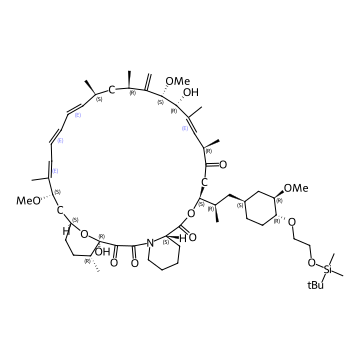 C=C1[C@H](C)C[C@H](C)/C=C/C=C/C=C(\C)[C@@H](OC)C[C@@H]2CC[C@@H](C)[C@@](O)(O2)C(=O)C(=O)N2CCCC[C@H]2C(=O)O[C@H]([C@H](C)C[C@@H]2CC[C@@H](OCCO[Si](C)(C)C(C)(C)C)[C@H](OC)C2)CC(=O)[C@H](C)/C=C(\C)[C@@H](O)[C@H]1OC